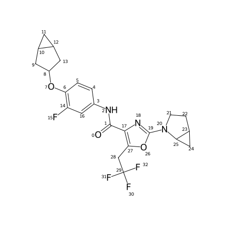 O=C(Nc1ccc(OC2CC3CC3C2)c(F)c1)c1nc(N2CCC3CC32)oc1CC(F)(F)F